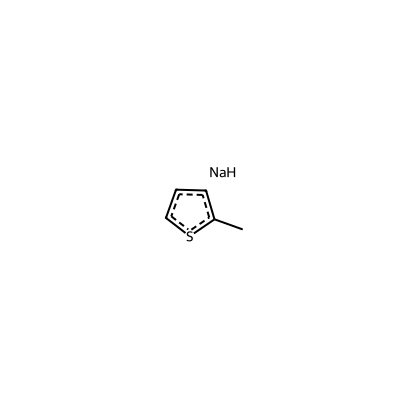 Cc1cccs1.[NaH]